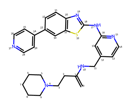 C=C(CCN1CCCCC1)NCc1ccnc(Nc2nc3ccc(-c4ccncc4)cc3s2)c1